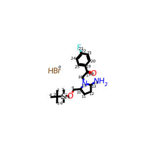 Br.CC(C)(C)[Si](C)(C)OCC1CCC(N)N1CC(=O)c1ccc(F)cc1